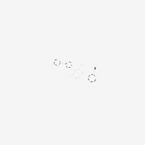 COC1C(Sc2cc(C)cnc2C#N)OC(CO)C(O)C1n1cc(-c2nc(Cl)cs2)nn1